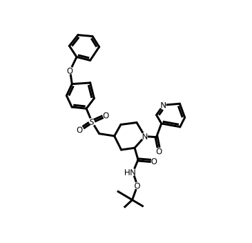 CC(C)(C)ONC(=O)C1CC(CS(=O)(=O)c2ccc(Oc3ccccc3)cc2)CCN1C(=O)c1cccnc1